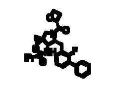 CC(C)S(=O)(=O)N[C@@H]1[C@H](Cc2cccc(-c3ccccc3)c2F)N(C(=O)[C@H]2CCO2)CC12CC2